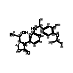 CC[C@@H](O)[C@H]1COC(=O)N1c1ccnc(N[C@@H](C)c2ccc(OC(F)F)c(F)c2)n1